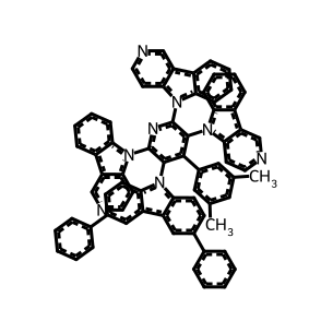 Cc1cc(C)cc(-c2c(-n3c4ccccc4c4cnccc43)c(-n3c4ccccc4c4cnccc43)nc(-n3c4ccccc4c4cnccc43)c2-n2c3ccc(-c4ccccc4)cc3c3cc(-c4ccccc4)ccc32)c1